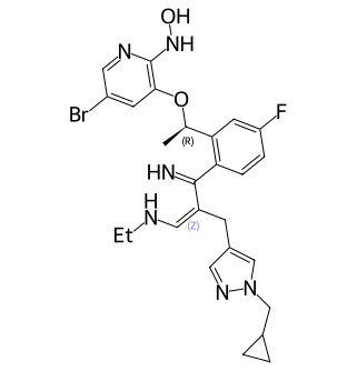 CCN/C=C(/Cc1cnn(CC2CC2)c1)C(=N)c1ccc(F)cc1[C@@H](C)Oc1cc(Br)cnc1NO